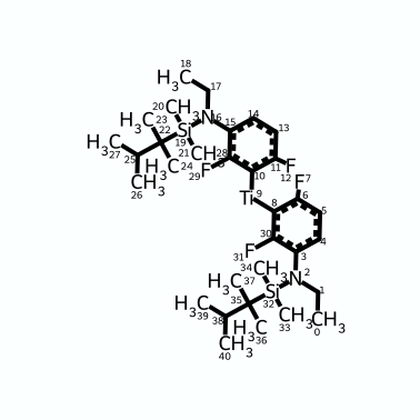 CCN(c1ccc(F)[c]([Ti][c]2c(F)ccc(N(CC)[Si](C)(C)C(C)(C)C(C)C)c2F)c1F)[Si](C)(C)C(C)(C)C(C)C